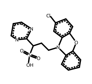 O=S(=O)(O)C(CCN1c2ccccc2Oc2ccc(Cl)cc21)c1ncccn1